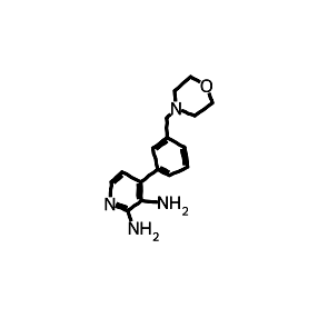 Nc1nccc(-c2cccc(CN3CCOCC3)c2)c1N